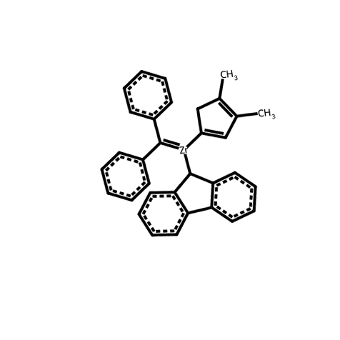 CC1=C(C)C[C]([Zr](=[C](c2ccccc2)c2ccccc2)[CH]2c3ccccc3-c3ccccc32)=C1